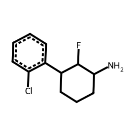 NC1CCCC(c2ccccc2Cl)C1F